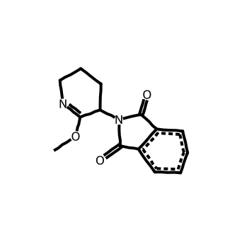 COC1=NCCCC1N1C(=O)c2ccccc2C1=O